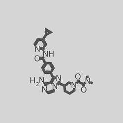 CN(C)C(=O)C(=O)N1CCCC(c2nc(-c3ccc(C(=O)Nc4cc(C5CC5)ccn4)cc3)c3c(N)nccn23)C1